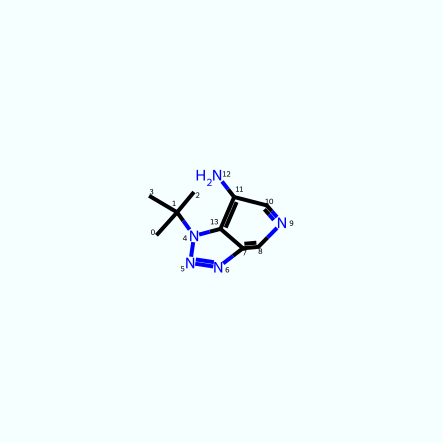 CC(C)(C)n1nnc2cncc(N)c21